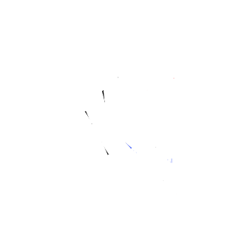 CC(O)P(=O)(O)OC(C)(C)C[C@H]1O[C@@H](n2ccc(=O)[nH]c2=O)[C@@H]2OC(C)(C)O[C@@H]21